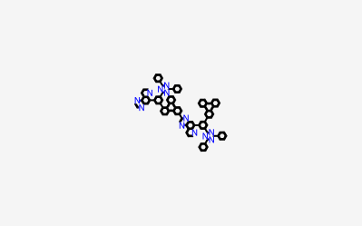 c1ccc(-c2nc(-c3ccccc3)nc(-c3cc(-c4ccc5c6ccccc6c6ccccc6c5c4)cc(-c4cc5nc(-c6ccc7c8ccccc8c8c(-c9cc(-c%10nc(-c%11ccccc%11)nc(-c%11ccccc%11)n%10)cc(-c%10cc%11nccnc%11c%11cccnc%10%11)c9)cccc8c7c6)cnc5c5cccnc45)c3)n2)cc1